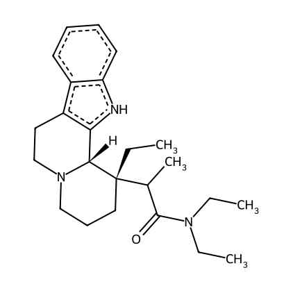 CCN(CC)C(=O)C(C)[C@]1(CC)CCCN2CCc3c([nH]c4ccccc34)[C@@H]21